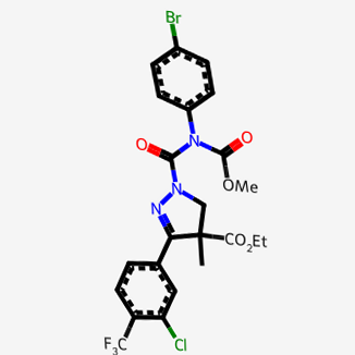 CCOC(=O)C1(C)CN(C(=O)N(C(=O)OC)c2ccc(Br)cc2)N=C1c1ccc(C(F)(F)F)c(Cl)c1